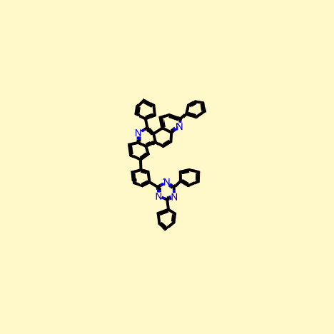 c1ccc(-c2ccc3c(ccc4c5cc(-c6cccc(-c7nc(-c8ccccc8)nc(-c8ccccc8)n7)c6)ccc5nc(-c5ccccc5)c34)n2)cc1